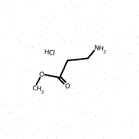 COC(=O)CCN.Cl